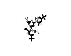 C#C/C(=C/C(=C)C(C)(C)C)N(N)c1nc(N=O)nc(N(N)/C(C)=C\C(=C)C(C)(C)C)n1